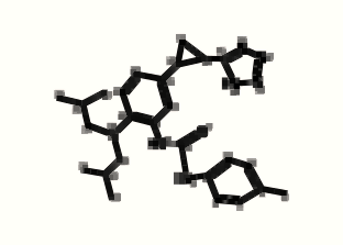 Cc1ccc(NC(=O)Nc2cc(C3CC3c3nnn[nH]3)ccc2N(CC(C)C)CC(C)C)cc1